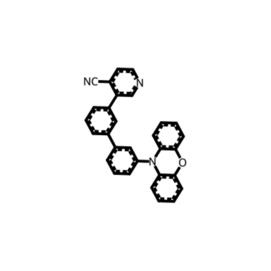 N#Cc1ccncc1-c1cccc(-c2cccc(N3c4ccccc4Oc4ccccc43)c2)c1